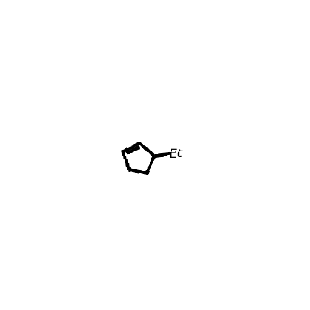 [CH2]CC1C=CCC1